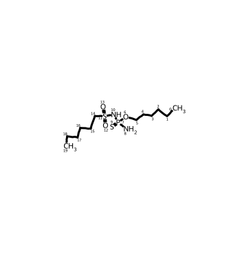 CCCCCCOP(N)(=S)NS(=O)(=O)CCCCCC